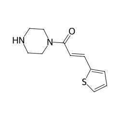 O=C(C=Cc1cccs1)N1CCNCC1